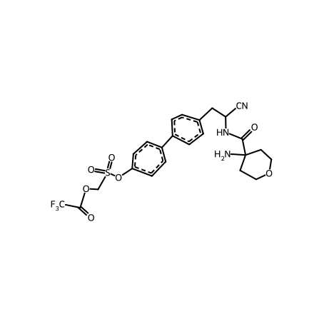 N#CC(Cc1ccc(-c2ccc(OS(=O)(=O)COC(=O)C(F)(F)F)cc2)cc1)NC(=O)C1(N)CCOCC1